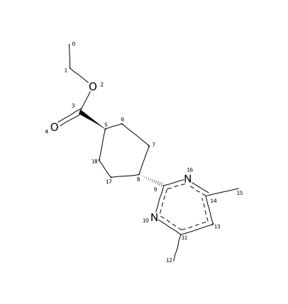 CCOC(=O)[C@H]1CC[C@H](c2nc(C)cc(C)n2)CC1